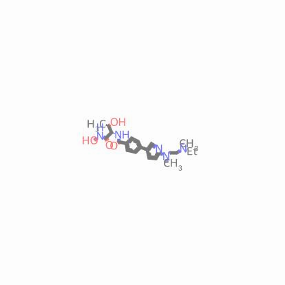 CCN(C)CCN(C)c1ccc(-c2ccc(C(=O)N[C@H](C(=O)NO)[C@@H](C)O)cc2)cn1